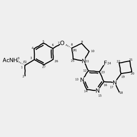 CC(=O)N[C@@H](C)c1ccc(O[C@@H]2CCN(c3ncnc(N(C)C4CCC4)c3F)C2)cc1